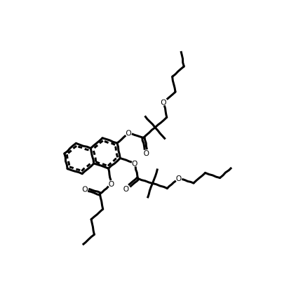 CCCCOCC(C)(C)C(=O)Oc1cc2ccccc2c(OC(=O)CCCC)c1OC(=O)C(C)(C)COCCCC